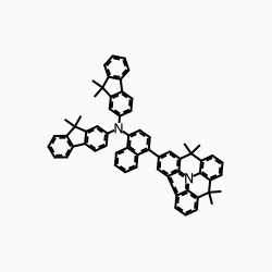 CC1(C)c2ccccc2-c2ccc(N(c3ccc4c(c3)C(C)(C)c3ccccc3-4)c3ccc(-c4cc5c6c(c4)c4cccc7c4n6-c4c(cccc4C5(C)C)C7(C)C)c4ccccc34)cc21